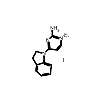 CC[n+]1ccc(N2CCc3ccccc32)nc1N.[I-]